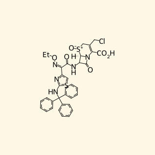 CCO/N=C(\C(=O)NC1C(=O)N2C(C(=O)O)=C(CCl)C[S+]([O-])[C@H]12)c1csc(NC(c2ccccc2)(c2ccccc2)c2ccccc2)n1